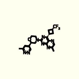 Cc1cc([C@@H]2CN(c3nc4nc(C)cnc4c([C@H]4C[C@@H](C(F)(F)F)C4)n3)CCO2)cnn1